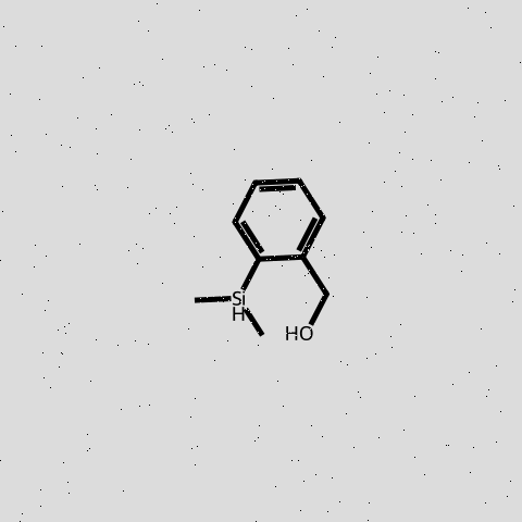 C[SiH](C)c1ccccc1CO